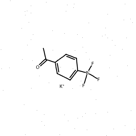 CC(=O)c1ccc([B-](F)(F)F)cc1.[K+]